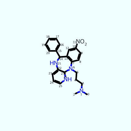 CN(C)CCCN1c2ccc([N+](=O)[O-])cc2C(c2ccccc2)NC2=CC=CNC21